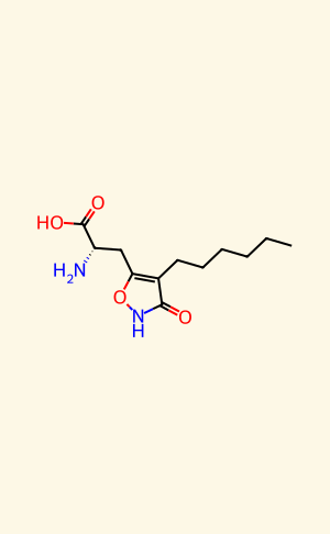 CCCCCCc1c(C[C@H](N)C(=O)O)o[nH]c1=O